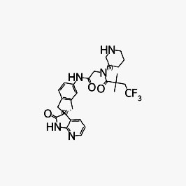 CC(C)(CC(F)(F)F)C(=O)N(CC(=O)Nc1ccc2c(c1)C[C@@]1(C2)C(=O)Nc2ncccc21)[C@H]1CCCNC1